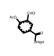 CCCCCCCC(=O)c1ccc(OC(C)=O)c([C]=O)c1